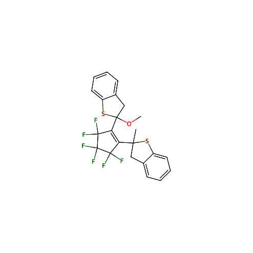 COC1(C2=C(C3(C)Cc4ccccc4S3)C(F)(F)C(F)(F)C2(F)F)Cc2ccccc2S1